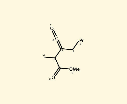 COC(=O)C(C)C(=C=O)CC(C)C